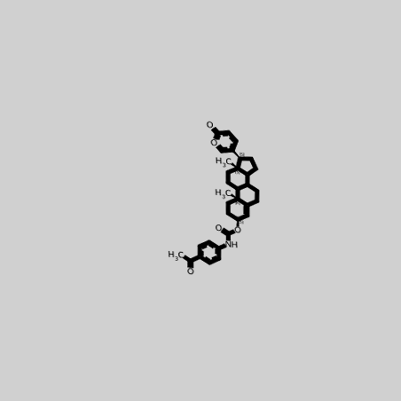 CC(=O)c1ccc(NC(=O)O[C@@H]2C=C3CCC4C(CC[C@@]5(C)C4CC[C@@H]5c4ccc(=O)oc4)[C@@]3(C)CC2)cc1